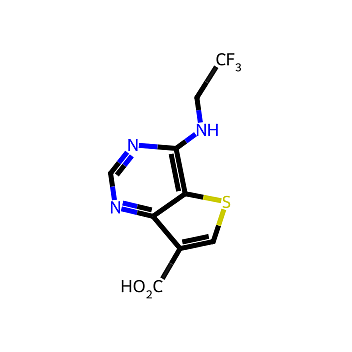 O=C(O)c1csc2c(NCC(F)(F)F)ncnc12